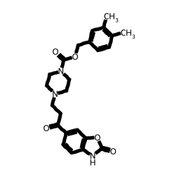 Cc1ccc(COC(=O)N2CCN(CCC(=O)c3ccc4[nH]c(=O)oc4c3)CC2)cc1C